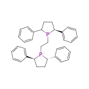 c1ccc(C2CC[C@@H](c3ccccc3)P2CCP2[C@H](c3ccccc3)CC[C@H]2c2ccccc2)cc1